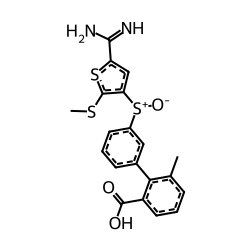 CSc1sc(C(=N)N)cc1[S+]([O-])c1cccc(-c2c(C)cccc2C(=O)O)c1